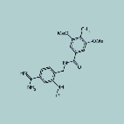 COc1cc(C(=O)NCc2ccc(C(=N)N)cc2NC(C)C)cc(OC)c1C